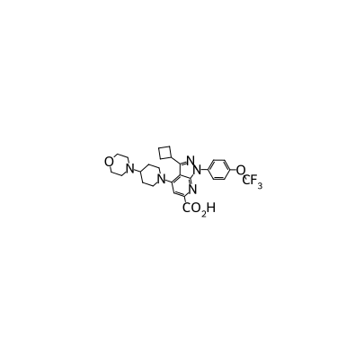 O=C(O)c1cc(N2CCC(N3CCOCC3)CC2)c2c(C3CCC3)nn(-c3ccc(OC(F)(F)F)cc3)c2n1